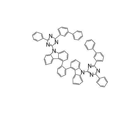 c1ccc(-c2cccc(-c3nc(-c4ccccc4)nc(-n4c5ccccc5c5c(-c6ccccc6-c6cccc7c6c6ccccc6n7-c6nc(-c7ccccc7)nc(-c7cccc(-c8ccccc8)c7)n6)cccc54)n3)c2)cc1